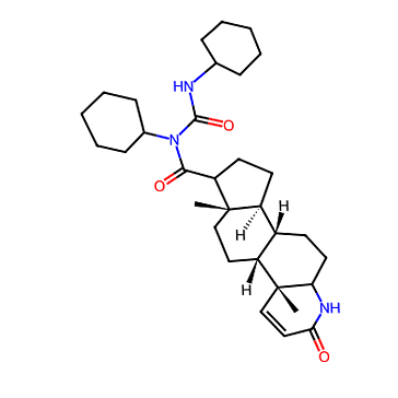 C[C@]12C=CC(=O)NC1CC[C@@H]1[C@H]2CC[C@]2(C)C(C(=O)N(C(=O)NC3CCCCC3)C3CCCCC3)CC[C@@H]12